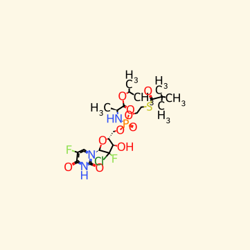 CC(C)OC(=O)[C@H](C)N[P@@](=O)(OCCSC(=O)C(C)(C)C)OC[C@H]1O[C@@H](n2cc(F)c(=O)[nH]c2=O)[C@@](F)(Cl)[C@@H]1O